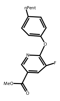 CCCCCc1ccc(Oc2ncc(C(=O)OC)cc2F)cc1